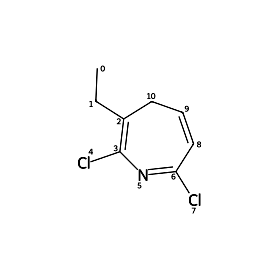 CCC1=C(Cl)N=C(Cl)C=CC1